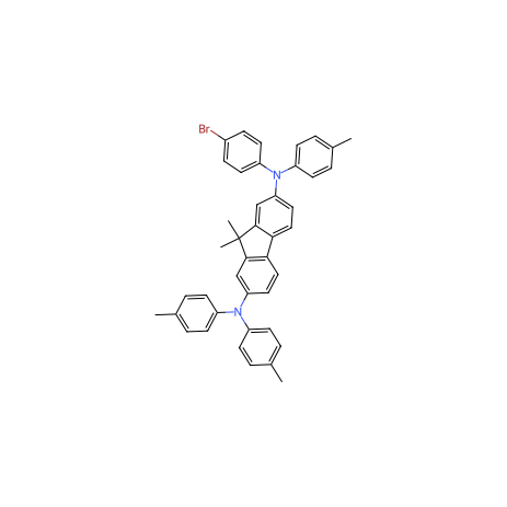 Cc1ccc(N(c2ccc(C)cc2)c2ccc3c(c2)C(C)(C)c2cc(N(c4ccc(C)cc4)c4ccc(Br)cc4)ccc2-3)cc1